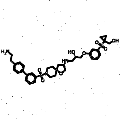 NCCc1ccc(-c2cccc(S(=O)(=O)N3CCC4(CC3)C[C@H](NC[C@H](O)COc3cccc(S(=O)(=O)C5(CO)CC5)c3)CO4)c2)cc1